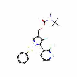 CN(C(=O)OCc1cn(S(=O)(=O)c2ccccc2)c(-c2cccnc2Cl)c1F)C(C)(C)C